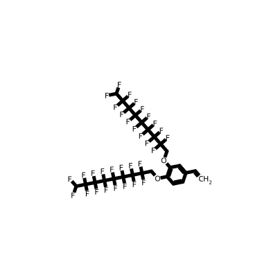 C=Cc1ccc(OCC(F)(F)C(F)(F)C(F)(F)C(F)(F)C(F)(F)C(F)(F)C(F)(F)C(F)F)c(OCC(F)(F)C(F)(F)C(F)(F)C(F)(F)C(F)(F)C(F)(F)C(F)(F)C(F)F)c1